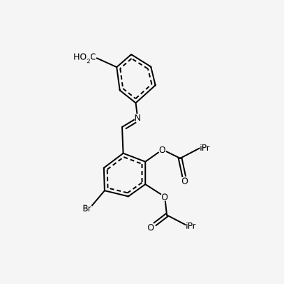 CC(C)C(=O)Oc1cc(Br)cc(C=Nc2cccc(C(=O)O)c2)c1OC(=O)C(C)C